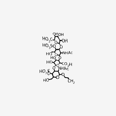 C=CCOC1OC(CO)C(OS(=O)(=O)O)C(OC2OC(C(=O)O)C(OC3OC(CO)C(OS(=O)(=O)O)C(OC4OC(C(=O)O)C(O)C(O)C4O)C3NC(C)=O)C(O)C2O)C1NC(C)=O